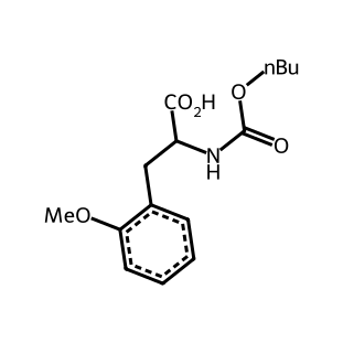 CCCCOC(=O)NC(Cc1ccccc1OC)C(=O)O